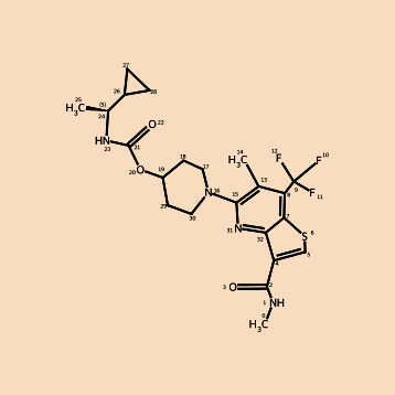 CNC(=O)c1csc2c(C(F)(F)F)c(C)c(N3CCC(OC(=O)N[C@@H](C)C4CC4)CC3)nc12